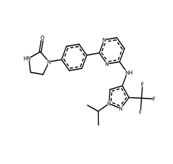 CC(C)n1cc(Nc2ccnc(-c3ccc(N4CCNC4=O)cc3)n2)c(C(F)(F)F)n1